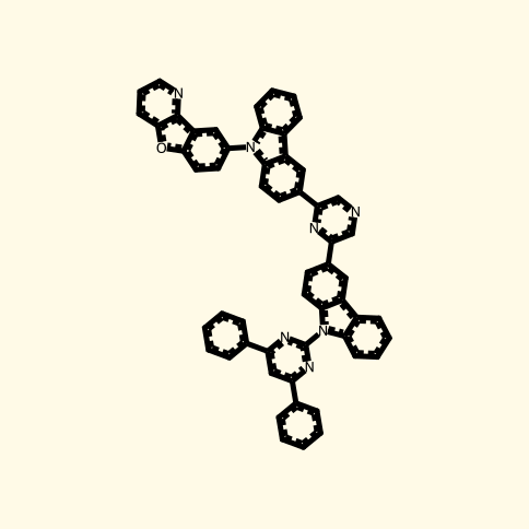 c1ccc(-c2cc(-c3ccccc3)nc(-n3c4ccccc4c4cc(-c5cncc(-c6ccc7c(c6)c6ccccc6n7-c6ccc7oc8cccnc8c7c6)n5)ccc43)n2)cc1